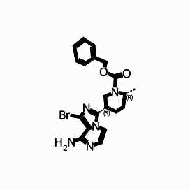 C[C@@H]1CC[C@H](c2nc(Br)c3c(N)nccn23)CN1C(=O)OCc1ccccc1